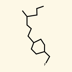 CCCC(C)CCCC1CCC(CF)CC1